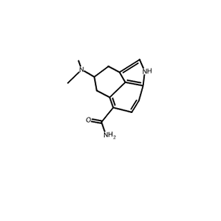 CN(C)C1Cc2c[nH]c3ccc(C(N)=O)c(c23)C1